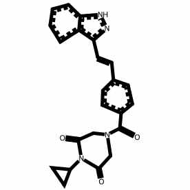 O=C(c1ccc(C=Cc2n[nH]c3ccccc23)cc1)N1CC(=O)N(C2CC2)C(=O)C1